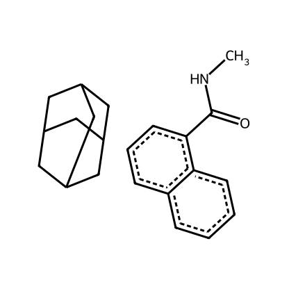 C1C2CC3CC1CC(C2)C3.CNC(=O)c1cccc2ccccc12